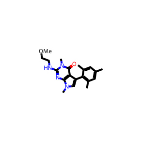 COCCNc1nc2c(c(-c3c(C)cc(C)cc3C)cn2C)c(=O)n1C